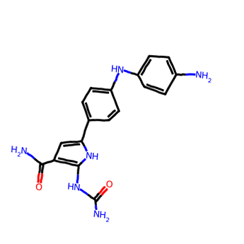 NC(=O)Nc1[nH]c(-c2ccc(Nc3ccc(N)cc3)cc2)cc1C(N)=O